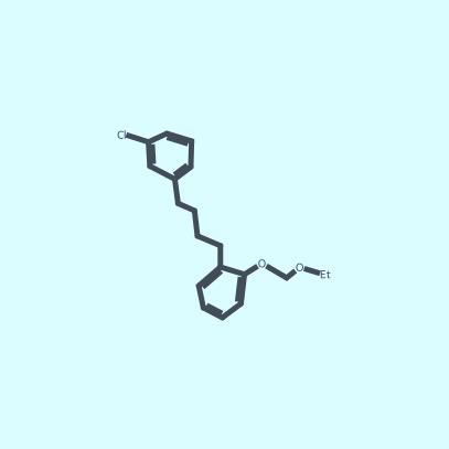 CCOCOc1ccccc1CCCCc1cccc(Cl)c1